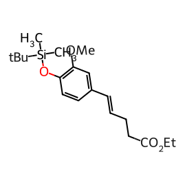 CCOC(=O)CCC=Cc1ccc(O[Si](C)(C)C(C)(C)C)c(OC)c1